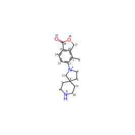 Cc1c(N2CCC3(CCNCC3)C2)ccc2c1COC2=O